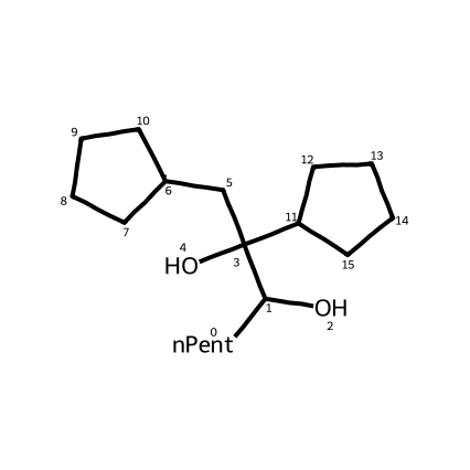 CCCCCC(O)C(O)(C[C]1CCCC1)C1CCCC1